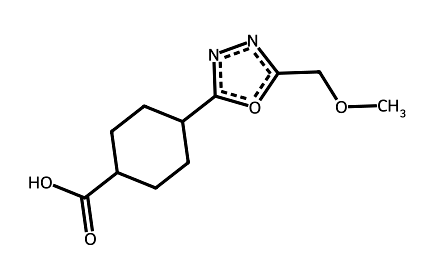 COCc1nnc(C2CCC(C(=O)O)CC2)o1